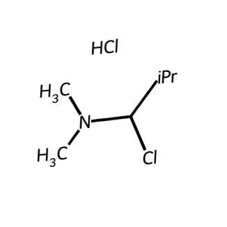 CC(C)C(Cl)N(C)C.Cl